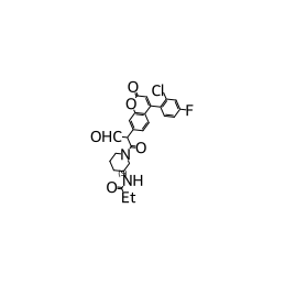 CCC(=O)N[C@H]1CCCN(C(=O)C(C=O)c2ccc3c(-c4ccc(F)cc4Cl)cc(=O)oc3c2)C1